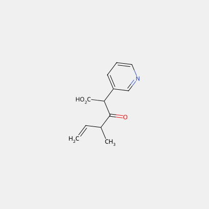 C=CC(C)C(=O)C(C(=O)O)c1cccnc1